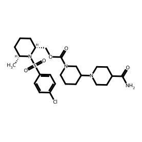 C[C@@H]1CCC[C@H](COC(=O)N2CCCC(N3CCC(C(N)=O)CC3)C2)N1S(=O)(=O)c1ccc(Cl)cc1